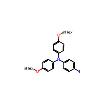 CCCCCCOc1ccc(N(c2ccc(I)cc2)c2ccc(OCCCCCC)cc2)cc1